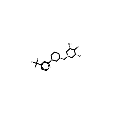 OC1[C@H](O)CN(C[C@@H]2CCCN(c3cc(C(F)(F)F)ccn3)C2)C[C@@H]1O